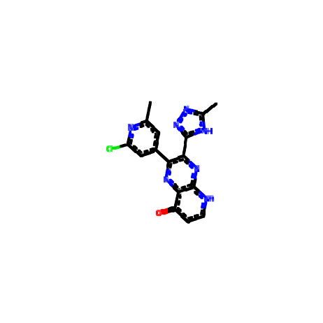 Cc1cc(-c2nc3c(=O)cc[nH]c3nc2-c2nnc(C)[nH]2)cc(Cl)n1